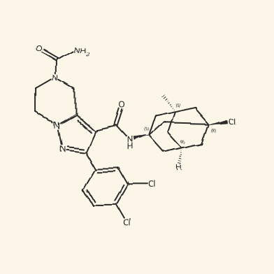 C[C@@]12C[C@H]3C[C@@](Cl)(C1)C[C@](NC(=O)c1c(-c4ccc(Cl)c(Cl)c4)nn4c1CN(C(N)=O)CC4)(C3)C2